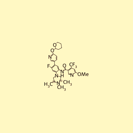 COc1cc(C(F)(F)F)c(C(=O)Nc2cc(-c3ccc(OC4CCCCO4)nc3)c(F)cc2N2C[C@@H](C)N(C)[C@@H](C)C2)cn1